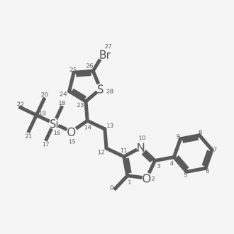 Cc1oc(-c2ccccc2)nc1CCC(O[Si](C)(C)C(C)(C)C)c1ccc(Br)s1